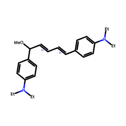 CCN(CC)c1ccc(/C=C/C=C/C(OC)c2ccc(N(CC)CC)cc2)cc1